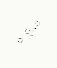 CN1CCC(OC(c2cccc(OCc3cccc(C(F)(F)F)c3)c2)c2nc3ccccc3s2)CC1